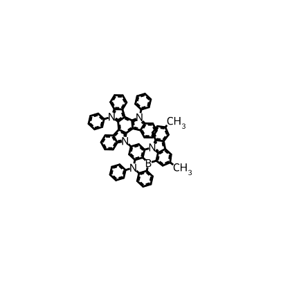 Cc1ccc2c(c1)c1cc(C)cc3c1n2-c1cc(-n2c4ccccc4c4c5c(c6ccccc6n5-c5ccccc5)c5c(c6ccccc6n5-c5ccccc5)c42)cc2c1B3c1ccccc1N2c1ccccc1